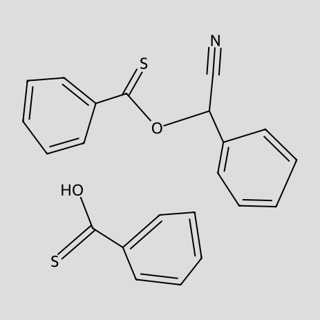 N#CC(OC(=S)c1ccccc1)c1ccccc1.OC(=S)c1ccccc1